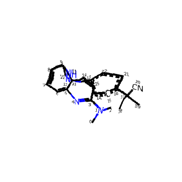 CN(C)C1=NC2=CC=CC3CNN(c4ccc(C(C)(C)C#N)cc4)C23C=C1